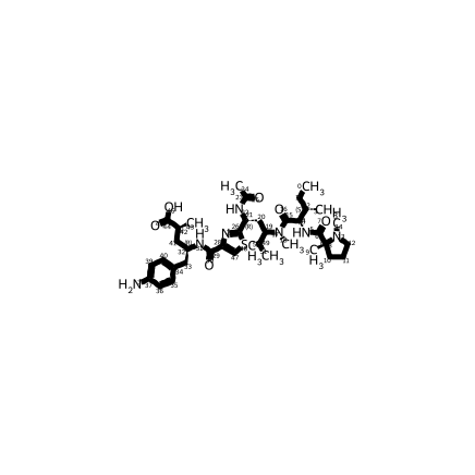 CC[C@H](C)[C@H](NC(=O)[C@@]1(C)CCCN1C)C(=O)N(C)C(C[C@@H](NC(C)=O)c1nc(C(=O)N[C@@H](Cc2ccc(N)cc2)C[C@H](C)C(=O)O)cs1)C(C)C